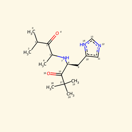 CC(C)C(=O)C(C)N[C@@H](Cc1cnc[nH]1)C(=O)C(C)(C)C